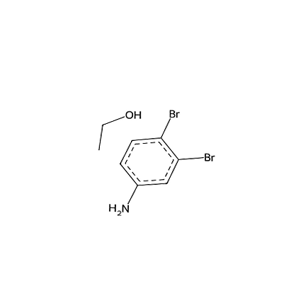 CCO.Nc1ccc(Br)c(Br)c1